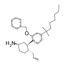 C=CC[C@@H]1CC[C@@H](N)C[C@H]1c1ccc(C(C)(C)CCCCCC)cc1OCc1ccccc1